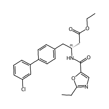 CCOC(=O)C[C@@H](Cc1ccc(-c2cccc(Cl)c2)cc1)NC(=O)c1cnc(CC)o1